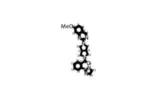 COc1ccc2cnc(N3CC4CN(C(=O)c5ccccc5-n5nccn5)CC4C3)nc2c1